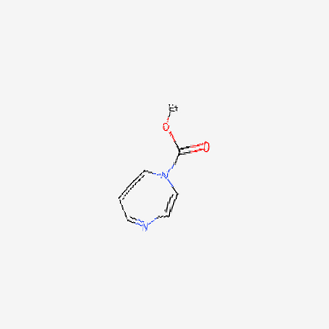 CCOC(=O)N1C=CC=NC=C1